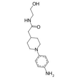 Nc1ccc(N2CCC(CC(=O)NCCO)CC2)cc1